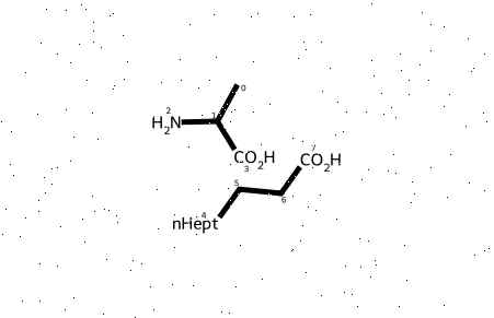 CC(N)C(=O)O.CCCCCCCCCC(=O)O